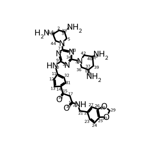 N[C@@H]1C[C@H](N)CN(c2nc(Nc3ccc(C(=O)CC(=O)NCc4ccc5c(c4)OCO5)cc3)nc(N3C[C@H](N)C[C@H](N)C3)n2)C1